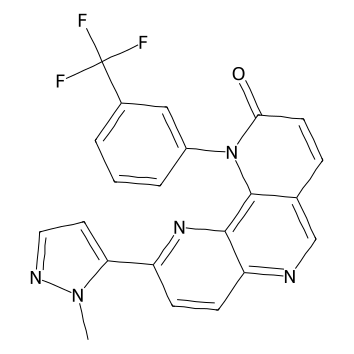 Cn1nccc1-c1ccc2ncc3ccc(=O)n(-c4cccc(C(F)(F)F)c4)c3c2n1